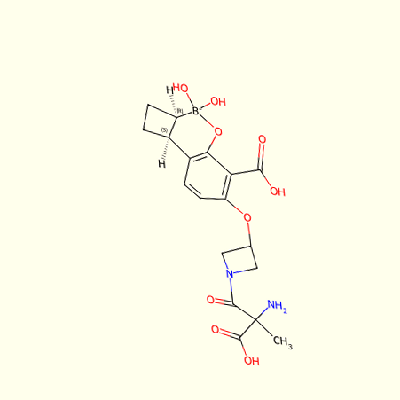 CC(N)(C(=O)O)C(=O)N1CC(Oc2ccc3c(c2C(=O)O)O[B-](O)(O)[C@@H]2CC[C@H]32)C1